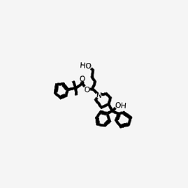 CC(C)(C(=O)OC(CCCO)N1CCC(C(O)(c2ccccc2)c2ccccc2)CC1)c1ccccc1